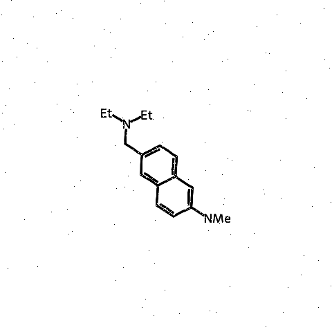 CCN(CC)Cc1ccc2cc(NC)ccc2c1